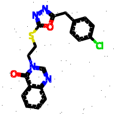 O=c1c2ccccc2ncn1CCSc1nnc(Cc2ccc(Cl)cc2)o1